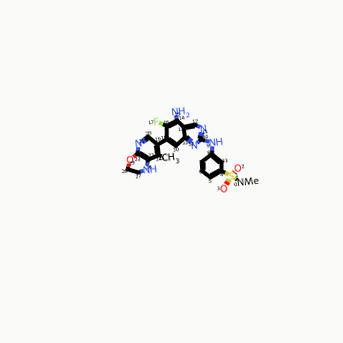 CNS(=O)(=O)c1cccc(Nc2ncc3c(N)c(F)c(-c4cnc5c(c4C)NCCO5)cc3n2)c1